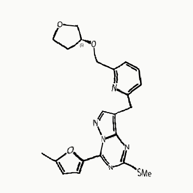 CSc1nc(-c2ccc(C)o2)n2ncc(Cc3cccc(CO[C@H]4CCOC4)n3)c2n1